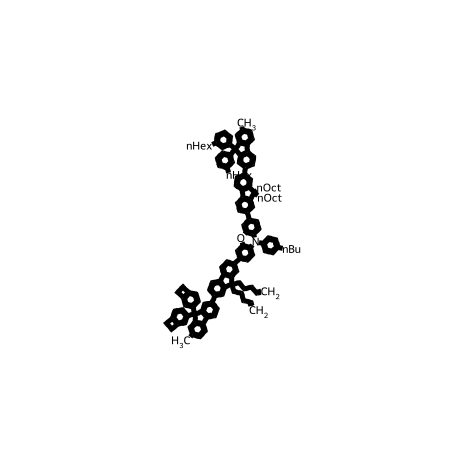 C=CCCCC1(CCCC=C)c2cc(-c3ccc4c(c3)Oc3cc(-c5ccc6c(c5)C(CCCCCCCC)(CCCCCCCC)c5cc(-c7ccc8c(c7)C(c7cccc(CCCCCC)c7)(c7cccc(CCCCCC)c7)c7cc(C)ccc7-8)ccc5-6)ccc3N4c3ccc(CCCC)cc3)ccc2-c2ccc(-c3ccc4c(c3)C(c3ccc5c(c3)CC5)(c3ccc5c(c3)CC5)c3cc(C)ccc3-4)cc21